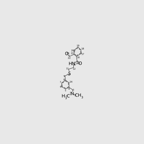 CN(C)Cc1cccc(CSCCNC(=O)c2ccccc2C=O)c1